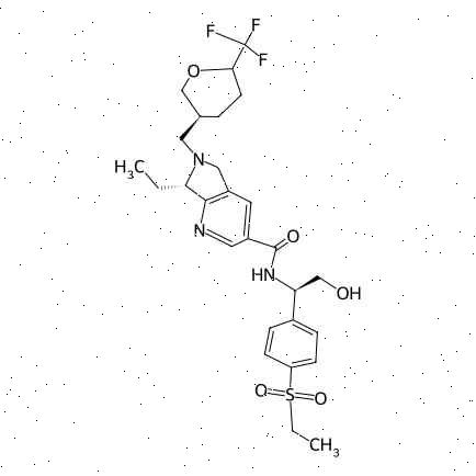 CC[C@H]1c2ncc(C(=O)N[C@@H](CO)c3ccc(S(=O)(=O)CC)cc3)cc2CN1C[C@@H]1CCC(C(F)(F)F)OC1